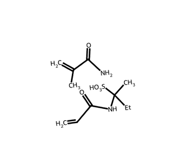 C=C(C)C(N)=O.C=CC(=O)NC(C)(CC)S(=O)(=O)O